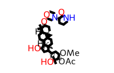 COC(C[C@@H](C)C1C[C@H](O)[C@@]2(C)[C@@H]3CC[C@H]4C(C)(C)[C@@H](OC5CN([C@H]6CCCNC6=O)CCO5)CC[C@@]45CC35CC[C@]12C)[C@H](OC(C)=O)C(C)(C)O